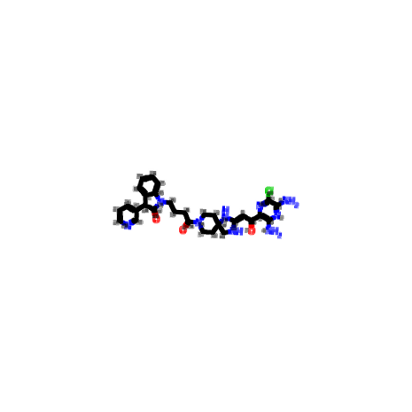 Nc1nc(N)c(C(=O)/C=C2\NCC3(CCN(C(=O)CCCN4C(=O)C(c5cccnc5)c5ccccc54)CC3)N2)nc1Cl